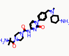 CN(Cc1ccc(-n2ccc(NC(=O)N3CCN(C(=O)C(C)(C)N)CC3)nc2=O)cc1)[C@H]1CCC[C@@H](N)C1